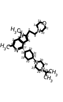 Cc1cc2c(cc(CCN3CCOCC3)n2C)c([C@H]2CC[C@H](N3CCN(C(C)C)CC3)CC2)n1